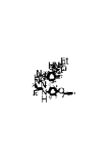 C#CCOc1ccc(Nc2nc(Nc3ccc(C)c(S(=O)(=O)NC(=O)CC)c3)ncc2F)cc1.[Na]